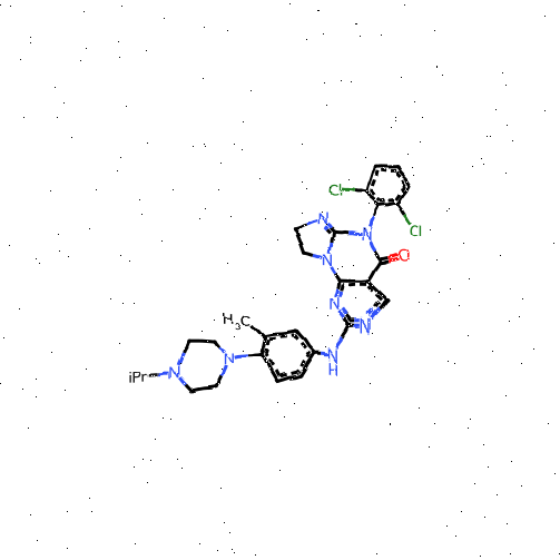 Cc1cc(Nc2ncc3c(n2)N2CCN=C2N(c2c(Cl)cccc2Cl)C3=O)ccc1N1CCN(C(C)C)CC1